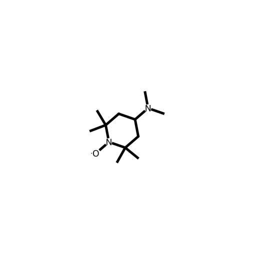 CN(C)C1CC(C)(C)N([O])C(C)(C)C1